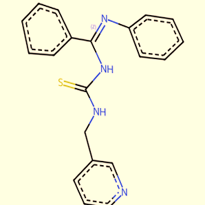 S=C(NCc1cccnc1)N/C(=N\c1ccccc1)c1ccccc1